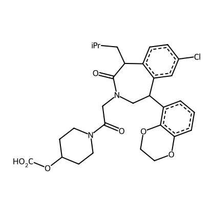 CC(C)CC1C(=O)N(CC(=O)N2CCC(OC(=O)O)CC2)CC(c2cccc3c2OCCO3)c2cc(Cl)ccc21